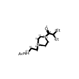 CCC(CC)C(=O)N1CCN(CCNC(C)=O)CC1